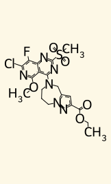 CCOC(=O)c1cc2n(n1)CCCN(c1nc(S(C)(=O)=O)nc3c(F)c(Cl)nc(OC)c13)C2